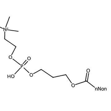 CCCCCCCCCC(=O)OCCCOP(=O)(O)OCC[N+](C)(C)C